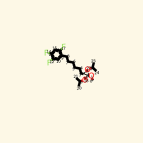 CO[Si](CCCCCCc1cc(F)c(F)cc1F)(OC(C)C)OC(C)C